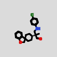 CC(C=O)(CNc1ccc(Cl)cc1)[C@H]1CC[C@@]2(CC1)COc1ccccc12